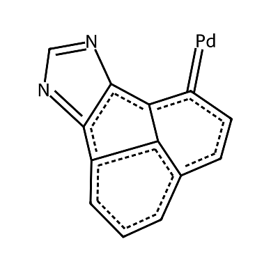 [Pd]=[c]1ccc2cccc3c2-c1c1c3=NC=N1